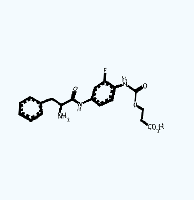 NC(Cc1ccccc1)C(=O)Nc1ccc(NC(=O)OCCC(=O)O)c(F)c1